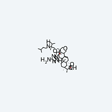 CC(C)CCN[C@@](C)(CO[C@H]1[C@H](n2nnc(N)n2)C[C@@]23COC[C@]1(C)[C@@H]2CC[C@H]1C3=CC[C@@]2(C)[C@H](C(=O)O)[C@@](C)([C@H](C)C(C)C)CC[C@]12C)C(C)C